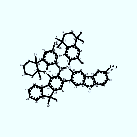 Cc1cc2c(cc1N1B3c4cc(C(C)(C)C)cc5c4N(c4c3c(cc3c4-c4ccccc4C3(C)C)-c3cc4sc6ccc(C(C)(C)C)cc6c4cc31)C1(C)CCCCC51C)C(C)(C)CCC2(C)C